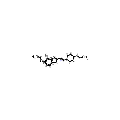 CCCC1CCC(/C=C/c2cc3ccc(OCC)c(F)c3s2)CC1